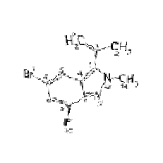 C=C(C)c1c2cc(Br)cc(F)c2nn1C